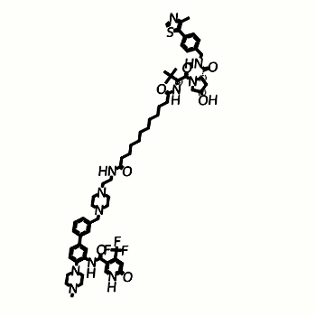 Cc1ncsc1-c1ccc(CNC(=O)[C@@H]2C[C@@H](O)CN2C(=O)[C@@H](NC(=O)CCCCCCCCCCC(=O)NCCN2CCN(Cc3cccc(-c4ccc(N5CCN(C)CC5)c(NC(=O)c5c[nH]c(=O)cc5C(F)(F)F)c4)c3)CC2)C(C)(C)C)cc1